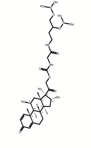 C[C@]12C=CC(=O)C=C1CC[C@H]1[C@@H]3C[C@@H](O)[C@](O)(C(=O)COC(=O)NCC(=O)NCCC(CON(O)O)ON(O)O)[C@@]3(C)C[C@H](O)[C@@]12F